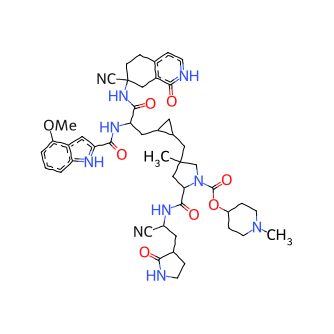 COc1cccc2[nH]c(C(=O)NC(CC3CC3CC3(C)CC(C(=O)NC(C#N)CC4CCNC4=O)N(C(=O)OC4CCN(C)CC4)C3)C(=O)NC3(C#N)CCc4cc[nH]c(=O)c4C3)cc12